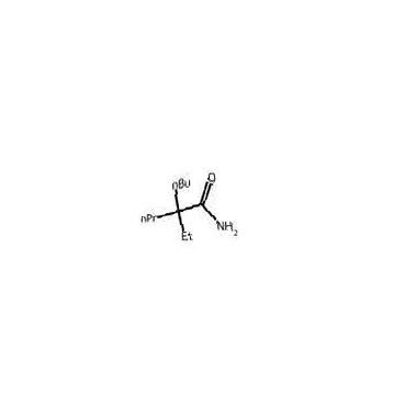 CCCCC(CC)(CCC)C(N)=O